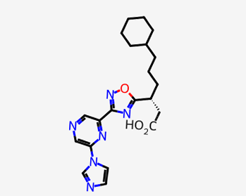 O=C(O)C[C@@H](CCCC1CCCCC1)c1nc(-c2cncc(-n3ccnc3)n2)no1